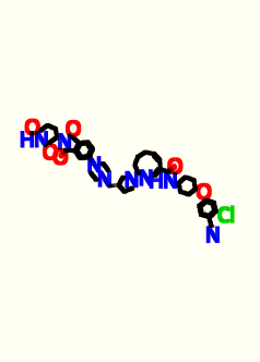 N#Cc1ccc(O[C@H]2CC[C@H](NC(=O)C3=C/N=C(/N4CC[C@@H](CN5CCN(c6ccc7c(c6)C(=O)N(C6CCC(=O)NC6=O)C7=O)CC5)C4)CCC/C=C\3)CC2)cc1Cl